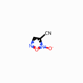 N#Cc1cno[n+]1[O-]